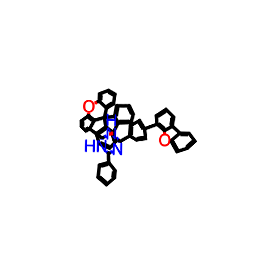 c1ccc(C2N=C(c3ccc(-c4cccc5c4oc4ccccc45)cc3)NC(c3cccc4c3C3(c5ccccc5O4)c4ccccc4-c4ccccc43)N2)cc1